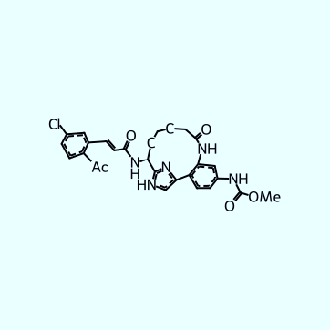 COC(=O)Nc1ccc2c(c1)NC(=O)CCCC[C@H](NC(=O)/C=C/c1cc(Cl)ccc1C(C)=O)c1nc-2c[nH]1